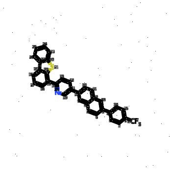 FC(F)(F)c1ccc(-c2ccc3cc(-c4ccc(-c5cccc6c5sc5ccccc56)nc4)ccc3c2)cc1